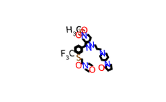 CS(=O)(=O)N1CCc2c(c(-c3ccc(C(F)(F)F)c(SCC(=O)N4CCOCC4)c3)nn2CCCN2CCC(N3CCCC3=O)CC2)C1